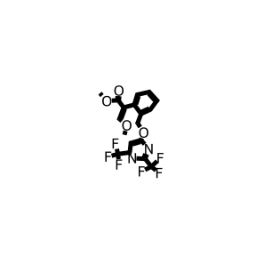 CO/C=C(/C(=O)OC)c1ccccc1COc1cc(C(F)(F)F)nc(C(F)(F)F)n1